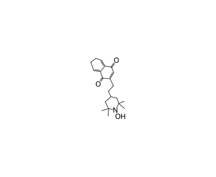 CC1(C)CC(CCC2=CC(=O)C3=CCCC=C3C2=O)CC(C)(C)N1O